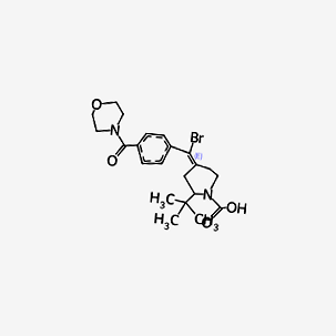 CC(C)(C)C1C/C(=C(/Br)c2ccc(C(=O)N3CCOCC3)cc2)CCN1C(=O)O